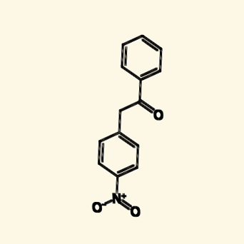 O=C(Cc1ccc([N+](=O)[O-])cc1)c1ccccc1